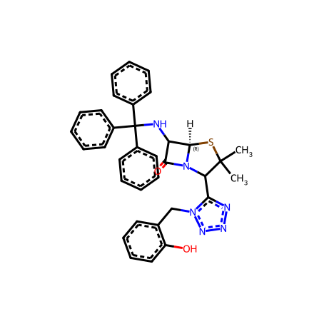 CC1(C)S[C@@H]2C(NC(c3ccccc3)(c3ccccc3)c3ccccc3)C(=O)N2C1c1nnnn1Cc1ccccc1O